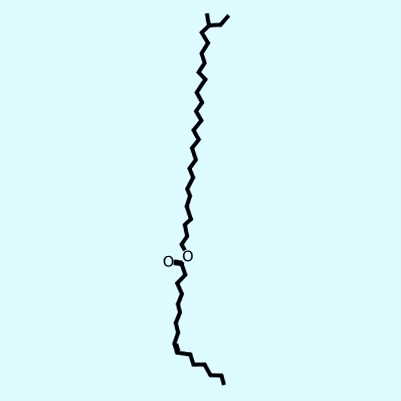 CCCCCC/C=C\CCCCCCCC(=O)OCCCCCCCCCCCCCCCCCCCCCCCC(C)CC